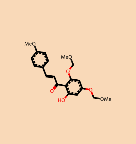 COCOc1cc(O)c(C(=O)C=Cc2ccc(OC)cc2)c(OCOC)c1